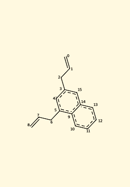 C=CCc1[c]c(CC=C)c2ccccc2c1